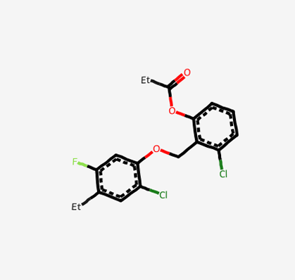 CCC(=O)Oc1cccc(Cl)c1COc1cc(F)c(CC)cc1Cl